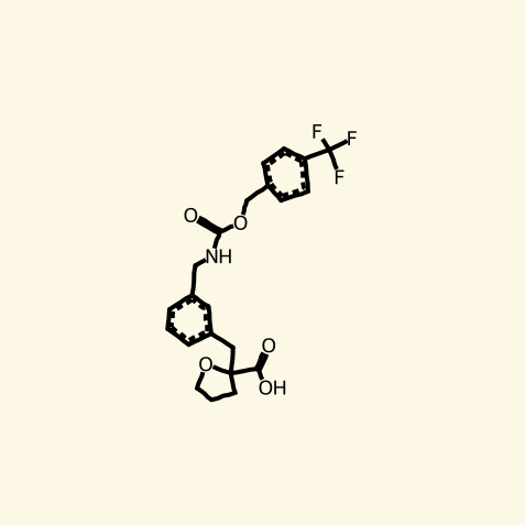 O=C(NCc1cccc(CC2(C(=O)O)CCCO2)c1)OCc1ccc(C(F)(F)F)cc1